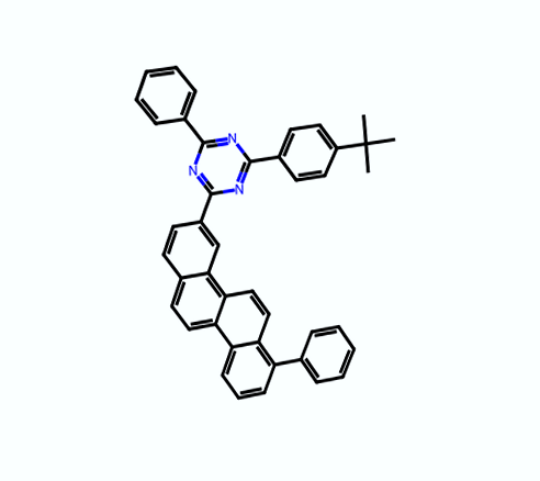 CC(C)(C)c1ccc(-c2nc(-c3ccccc3)nc(-c3ccc4ccc5c6cccc(-c7ccccc7)c6ccc5c4c3)n2)cc1